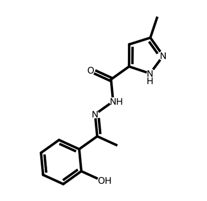 CC(=NNC(=O)c1cc(C)n[nH]1)c1ccccc1O